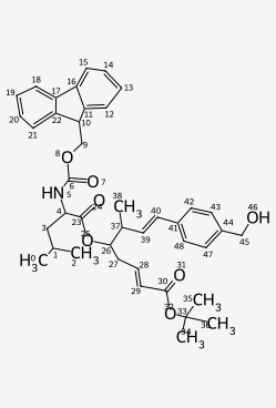 CC(C)CC(NC(=O)OCC1c2ccccc2-c2ccccc21)C(=O)OC(C/C=C/C(=O)OC(C)(C)C)C(C)/C=C/c1ccc(CO)cc1